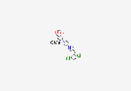 COC1=CC2=COCCOC2C=C1N1CCC(N2CCC(Cc3cc(Cl)ccc3Cl)CC2)CC1